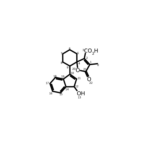 CC1=C(C(=O)O)C2(CCCCC2C2=CC(O)c3ccccc32)OC1=O